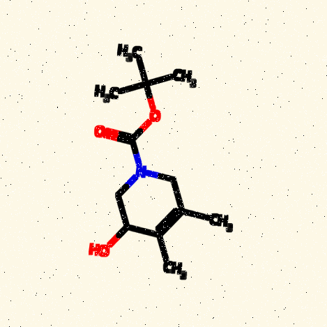 CC1=C(C)C(O)CN(C(=O)OC(C)(C)C)C1